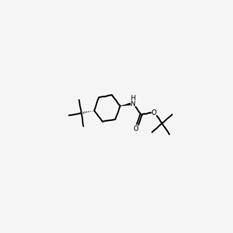 CC(C)(C)OC(=O)N[C@H]1CC[C@H](C(C)(C)C)CC1